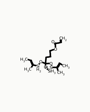 C=CC(=O)OCCCC(O[SiH3])(O[SiH2]C(C)=CC)O[SiH2]C(C)=CC